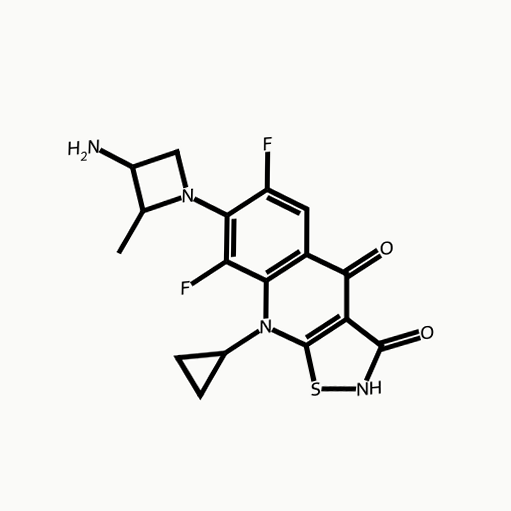 CC1C(N)CN1c1c(F)cc2c(=O)c3c(=O)[nH]sc3n(C3CC3)c2c1F